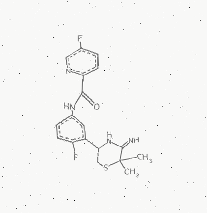 CC1(C)SCC(c2cc(NC(=O)c3ccc(F)cn3)ccc2F)NC1=N